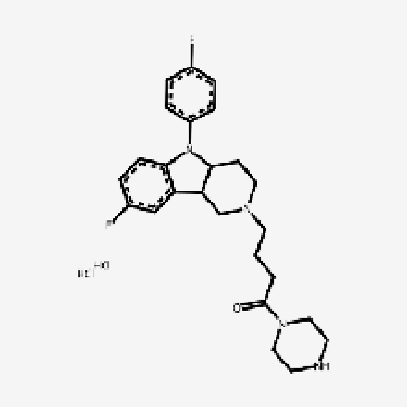 Cl.Cl.O=C(CCCN1CCC2C(C1)c1cc(F)ccc1N2c1ccc(F)cc1)N1CCNCC1